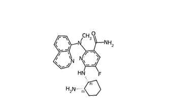 CN(c1nc(N[C@@H]2CCCC[C@@H]2N)c(F)cc1C(N)=O)c1cccc2cccnc12